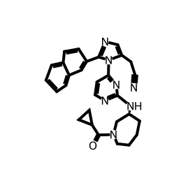 N#CCc1cnc(-c2ccc3ccccc3c2)n1-c1ccnc(N[C@H]2CCCCN(C(=O)C3CC3)C2)n1